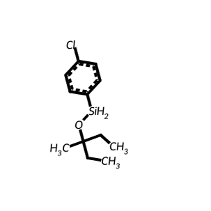 CCC(C)(CC)O[SiH2]c1ccc(Cl)cc1